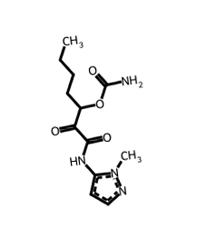 CCCCC(OC(N)=O)C(=O)C(=O)Nc1ccnn1C